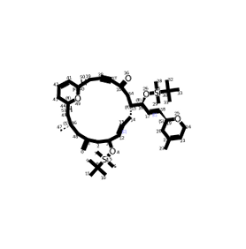 C=C1CC(O[Si](C)(C)C(C)(C)C)/C=C/C[C@@H]([C@H](/C=C/[C@@H]2CC(C)=CCO2)O[Si](C)(C)C(C)(C)C)CC(=O)C#CC[C@@H]2C=CC[C@@H](C[C@@H](C)C1)O2